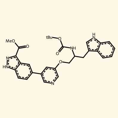 COC(=O)c1n[nH]c2ccc(-c3cncc(OCC(Cc4c[nH]c5ccccc45)NC(=O)OC(C)(C)C)c3)cc12